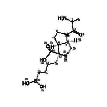 CC(N)C(=O)N1CC[C@H]2[C@@H]1CN[C@@]2(CCCCB(O)O)C(=O)O